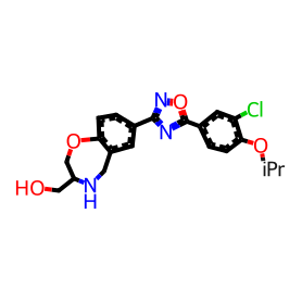 CC(C)Oc1ccc(-c2nc(-c3ccc4c(c3)CNC(CO)CO4)no2)cc1Cl